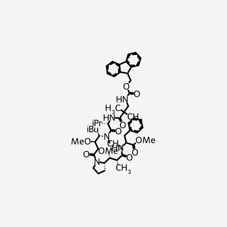 CC[C@H](C)[C@@H]([C@@H](CC(=O)N1CCC[C@H]1[C@H](OC)[C@@H](C)C(=O)NC(Cc1ccccc1)C(=O)OC)OC)N(C)C(=O)[C@@H](NC(=O)C(C)(C)CNC(=O)OCC1c2ccccc2-c2ccccc21)C(C)C